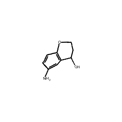 Nc1ccc2c(c1)C(O)CCO2